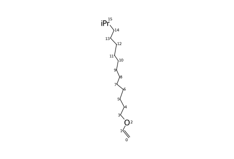 C=COCCCCCCCCCCCCC(C)C